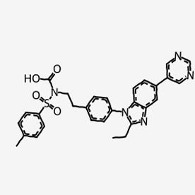 CCc1nc2cc(-c3cncnc3)ccc2n1-c1ccc(CCN(C(=O)O)S(=O)(=O)c2ccc(C)cc2)cc1